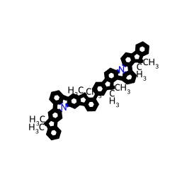 CC1(C)c2ccccc2-c2cc3c(cc21)c1cccc2c4cc5c(cc4n3c12)-c1cccc(-c2ccc3c(c2)C(C)(C)c2c-3ccc3c2c2cccc4c6c7c(ccc6n3c42)-c2ccccc2C7(C)C)c1C5(C)C